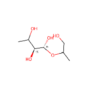 CC(CO)O[C@@H](O)[C@@H](O)C(C)O